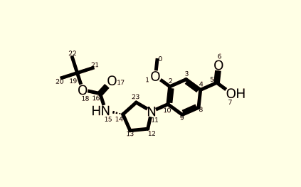 COc1cc(C(=O)O)ccc1N1CC[C@H](NC(=O)OC(C)(C)C)C1